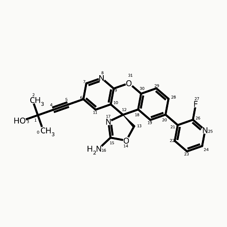 CC(C)(O)C#Cc1cnc2c(c1)[C@]1(COC(N)=N1)c1cc(-c3cccnc3F)ccc1O2